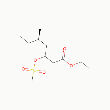 CCOC(=O)CC(C[C@H](C)CC)OS(C)(=O)=O